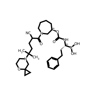 CC(C)(CCC(C#N)C(=O)N1CCCC[C@@H](OC(=O)N[C@@H](CCc2ccccc2)B(O)O)C1)N1CCOC2(CC2)C1